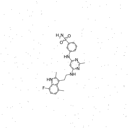 Cc1nc(NCCc2c(C)[nH]c3c(F)ccc(C)c23)cc(Nc2cccc(S(N)(=O)=O)c2)n1